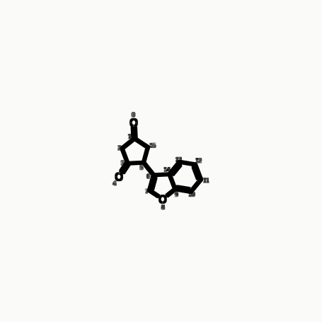 O=C1CC(=O)C(c2coc3ccccc23)C1